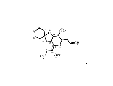 C=CCC1O[C@@H]([C@@H](COC(C)=O)OC(C)=O)C2OC3(CCCCC3)OC2C1OC(C)=O